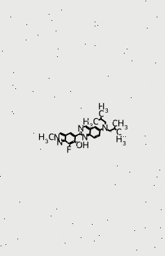 CC(C)CN(CC(C)C)c1ccc2nc(-c3cc4cn(C)nc4c(F)c3O)ncc2c1